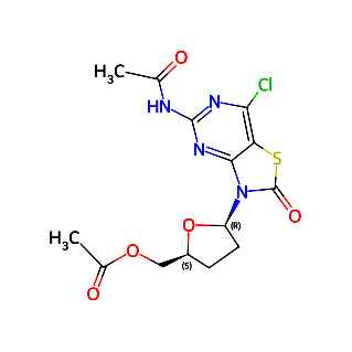 CC(=O)Nc1nc(Cl)c2sc(=O)n([C@H]3CC[C@@H](COC(C)=O)O3)c2n1